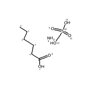 CCCCCC(=O)O.N.O=S(=O)(O)O